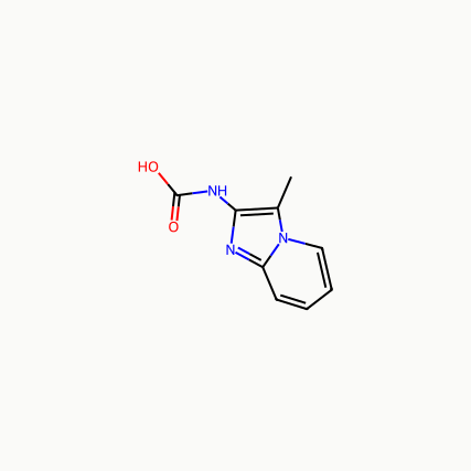 Cc1c(NC(=O)O)nc2ccccn12